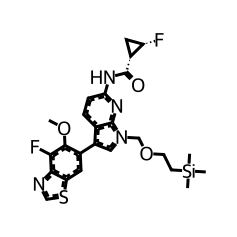 COc1c(-c2cn(COCC[Si](C)(C)C)c3nc(NC(=O)[C@@H]4C[C@@H]4F)ccc23)cc2scnc2c1F